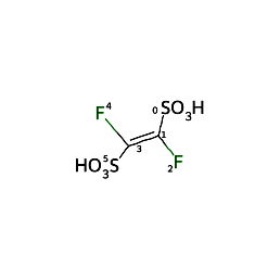 O=S(=O)(O)C(F)=C(F)S(=O)(=O)O